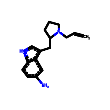 C=CCN1CCCC1Cc1c[nH]c2ccc(N)cc12